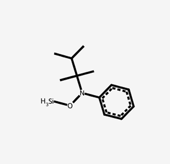 CC(C)C(C)(C)N(O[SiH3])c1ccccc1